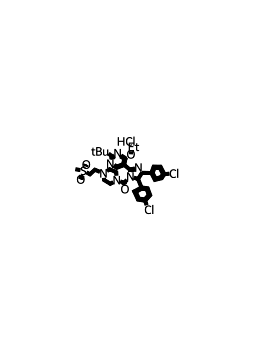 CCOc1nc(C(C)(C)C)ncc1C1=NC(c2ccc(Cl)cc2)C(c2ccc(Cl)cc2)N1C(=O)N1CCN(CCS(C)(=O)=O)CC1.Cl